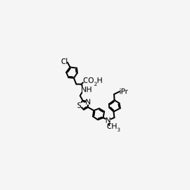 CC(C)Cc1ccc(CN(C)c2ccc(-c3csc(CNC(Cc4ccc(Cl)cc4)C(=O)O)n3)cc2)cc1